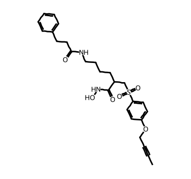 CC#CCOc1ccc(S(=O)(=O)CC(CCCCNC(=O)CCc2ccccc2)C(=O)NO)cc1